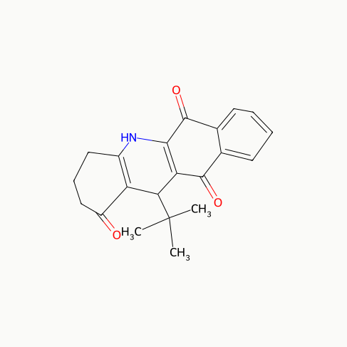 CC(C)(C)C1C2=C(CCCC2=O)NC2=C1C(=O)c1ccccc1C2=O